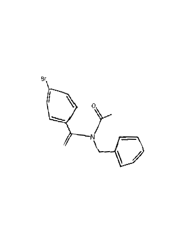 C=C(c1ccc(Br)cc1)N(Cc1ccccc1)C(C)=O